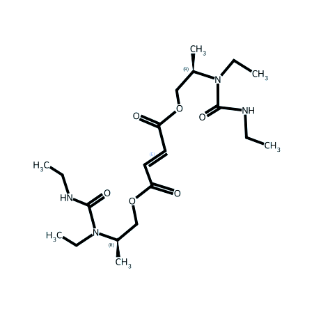 CCNC(=O)N(CC)[C@H](C)COC(=O)/C=C/C(=O)OC[C@@H](C)N(CC)C(=O)NCC